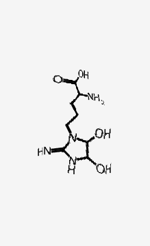 N=C1NC(O)C(O)N1CCCC(N)C(=O)O